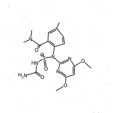 COc1cc(OC)nc(N(c2ccc(C)cc2C(=O)N(C)C)S(=O)(=O)NC(N)=O)n1